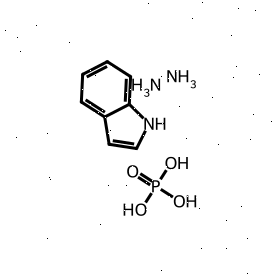 N.N.O=P(O)(O)O.c1ccc2[nH]ccc2c1